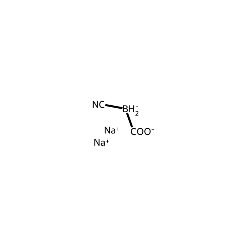 N#C[BH2-]C(=O)[O-].[Na+].[Na+]